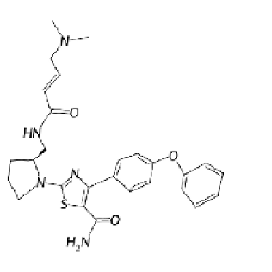 CN(C)C/C=C/C(=O)NC[C@@H]1CCCN1c1nc(-c2ccc(Oc3ccccc3)cc2)c(C(N)=O)s1